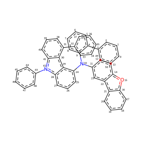 c1ccc(-c2ccccc2N(c2ccc3oc4ccccc4c3c2)c2cccc3c2c2c(-c4ccccc4)cccc2n3-c2ccccc2)cc1